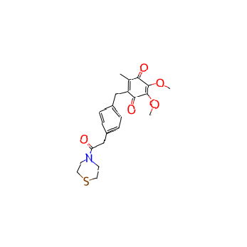 COC1=C(OC)C(=O)C(Cc2ccc(CC(=O)N3CCSCC3)cc2)=C(C)C1=O